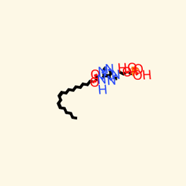 CCCCC/C=C\C/C=C\CCCCCCCCOC(=O)Nc1ncnc2c1ncn2CCOCP(=O)(O)O